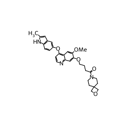 COc1cc2c(Oc3ccc4[nH]c(C)cc4c3)ccnc2cc1OCCCC(=O)N1CCC2(CC1)COC2